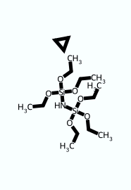 C1CC1.CCO[Si](N[Si](OCC)(OCC)OCC)(OCC)OCC